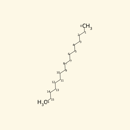 CCCCCCCC[CH]CCCCCCCC